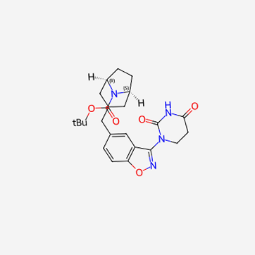 CC(C)(C)OC(=O)N1[C@@H]2CC[C@H]1CC(Cc1ccc3onc(N4CCC(=O)NC4=O)c3c1)C2